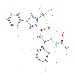 O=C(O)NCC(NC(=O)c1cn(-c2ccccc2)nc1C(F)(F)F)c1ccccc1